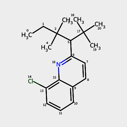 CCC(C)(C)C(c1ccc2cccc(Cl)c2n1)C(C)(C)C